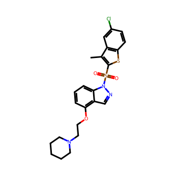 Cc1c(S(=O)(=O)n2ncc3c(OCCN4CCCCC4)cccc32)sc2ccc(Cl)cc12